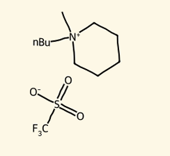 CCCC[N+]1(C)CCCCC1.O=S(=O)([O-])C(F)(F)F